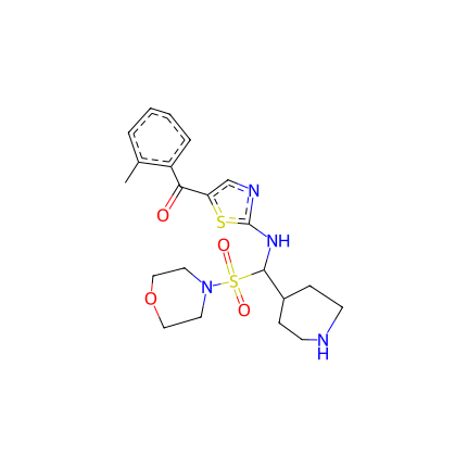 Cc1ccccc1C(=O)c1cnc(NC(C2CCNCC2)S(=O)(=O)N2CCOCC2)s1